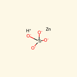 [H+].[O-][Ti]([O-])([O-])[O-].[Zn]